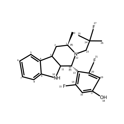 C[C@@H]1CC2c3ccccc3NC2[C@@H](c2c(F)cc(O)cc2F)N1CC(C)(C)F